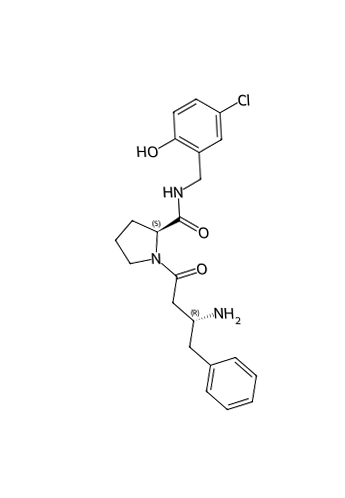 N[C@@H](CC(=O)N1CCC[C@H]1C(=O)NCc1cc(Cl)ccc1O)Cc1ccccc1